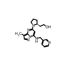 Cc1cnn2c(NCc3cccnc3)cc(N3CCC[C@H]3CCO)nc12